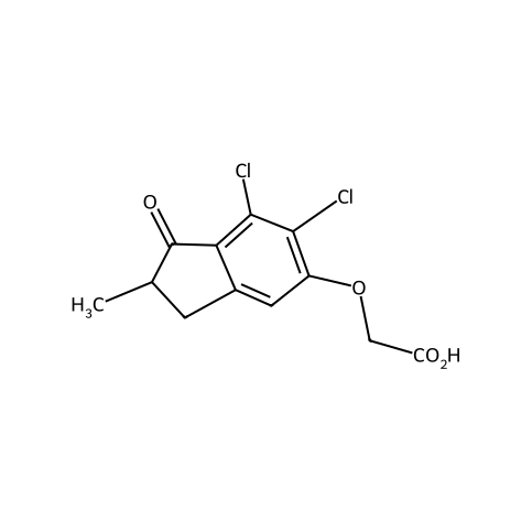 CC1Cc2cc(OCC(=O)O)c(Cl)c(Cl)c2C1=O